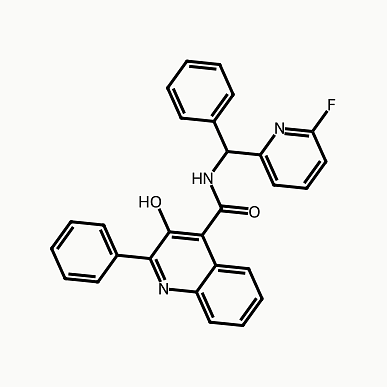 O=C(NC(c1ccccc1)c1cccc(F)n1)c1c(O)c(-c2ccccc2)nc2ccccc12